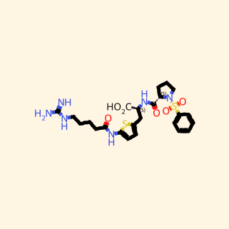 N=C(N)NCCCCC(=O)Nc1ccc(C[C@H](NC(=O)[C@@H]2CCCN2S(=O)(=O)c2ccccc2)C(=O)O)s1